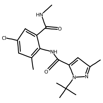 CNC(=O)c1cc(Cl)cc(C)c1NC(=O)c1cc(C)nn1C(C)(C)C